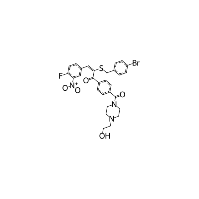 O=C(/C(=C\c1ccc(F)c([N+](=O)[O-])c1)SCc1ccc(Br)cc1)c1ccc(C(=O)N2CCN(CCO)CC2)cc1